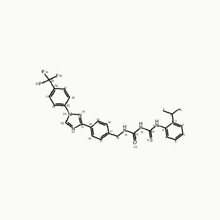 CC(C)c1ccccc1NC(=S)NC(=O)NCc1ccc(-c2ncn(-c3ccc(C(F)(F)F)cc3)n2)cc1